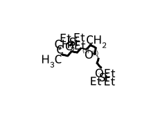 C=C=C(C)CC(CC[C@@H]1O[C@@H](CCCO[Si](CC)(CC)CC)CC1=C)O[Si](CC)(CC)CC